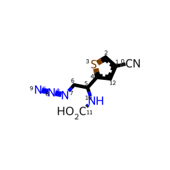 N#Cc1csc(C(CN=[N+]=[N-])NC(=O)O)c1